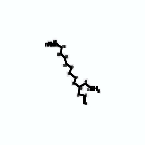 C=CCC(C[SiH3])CCCCCCCCCCCCCCCCC